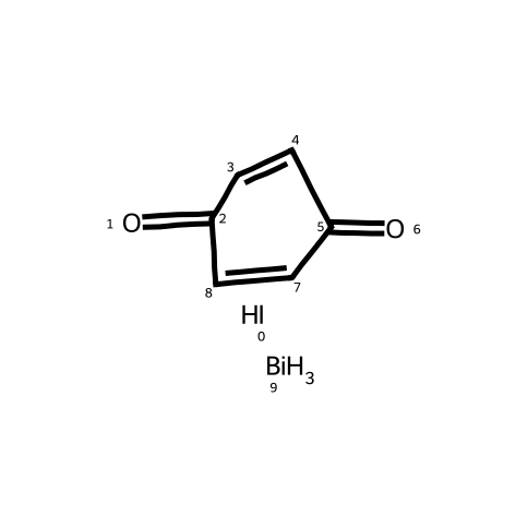 I.O=C1C=CC(=O)C=C1.[BiH3]